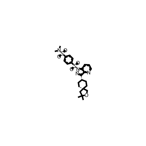 CN(C)S(=O)(=O)c1ccc(S(=O)(=O)n2nc([C@H]3CC[C@]4(CC3)COC(C)(C)C4)c3ncccc32)cc1